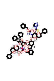 CC[C@H]1O[C@@H](O[C@@H]2[C@H]3OC(=O)C[C@@H]3C[C@H](C)[C@H]2O[C@H]2O[C@@H]3CCC(c4ccccc4)O[C@H]3[C@H](OC(=S)n3ccnc3)C2NC(=O)OCc2ccccc2)[C@H](O[Si](c2ccccc2)(c2ccccc2)C(C)(C)C)[C@@H]1O[C@H]1O[C@H]2CCC(c3ccccc3)O[C@H]2[C@H](O)[C@H]1NC(=O)OCc1ccccc1